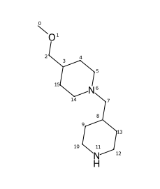 COCC1CCN(CC2CCNCC2)CC1